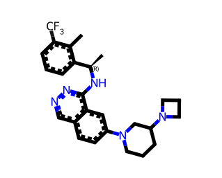 Cc1c([C@@H](C)Nc2nncc3ccc(N4CCCC(N5CCC5)C4)cc23)cccc1C(F)(F)F